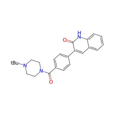 CC(C)(C)N1CCN(C(=O)c2ccc(-c3cc4ccccc4[nH]c3=O)cc2)CC1